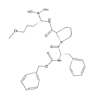 COCCC[C@@H](NC(=O)C1CCCN1C(=O)[C@H](Cc1ccccc1)NC(=O)OCc1ccccc1)B(O)O